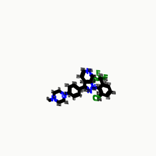 CN1CCN(c2ccc(-c3nn(-c4c(Cl)cccc4C(F)(F)F)c4cnccc34)cc2)CC1